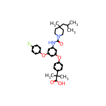 CC(C)CC1(C)CCN(C(=O)Nc2cc(Oc3ccc(F)cc3)cc(Oc3ccc(C(C)(C)C(=O)O)cc3)c2)CC1